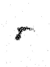 C=CCOc1ccc2c(c1)CCn1c-2cc(OC[C@H]2COc3ncccc3O2)nc1=O